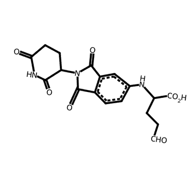 O=CCCC(Nc1ccc2c(c1)C(=O)N(C1CCC(=O)NC1=O)C2=O)C(=O)O